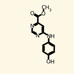 COC(=O)c1cc(Nc2ccc(O)cc2)ncn1